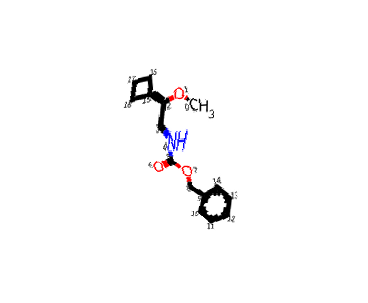 COC(CNC(=O)OCc1ccccc1)=C1CCC1